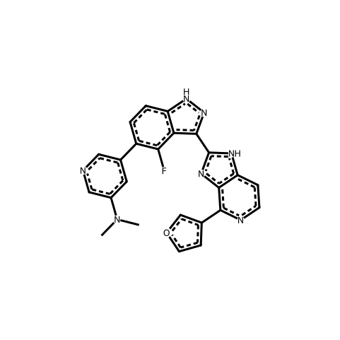 CN(C)c1cncc(-c2ccc3[nH]nc(-c4nc5c(-c6ccoc6)nccc5[nH]4)c3c2F)c1